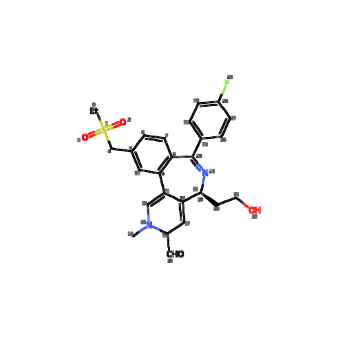 CCS(=O)(=O)Cc1ccc2c(c1)C1=CN(C)C(C=O)C=C1[C@H](CCO)N=C2c1ccc(F)cc1